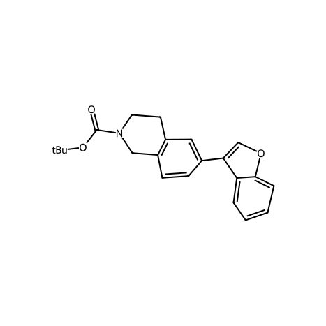 CC(C)(C)OC(=O)N1CCc2cc(-c3coc4ccccc34)ccc2C1